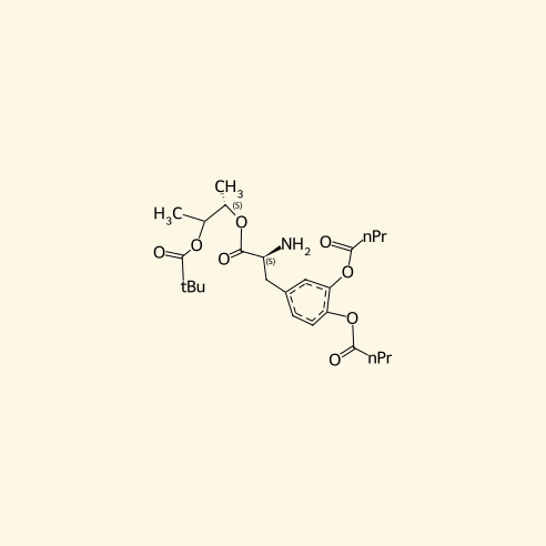 CCCC(=O)Oc1ccc(C[C@H](N)C(=O)O[C@@H](C)C(C)OC(=O)C(C)(C)C)cc1OC(=O)CCC